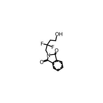 O=C1c2ccccc2C(=O)N1CC(F)(F)CCO